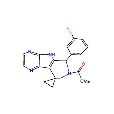 COC(=O)N1CC2(CC2)c2c([nH]c3nccnc23)C1c1cccc(F)c1